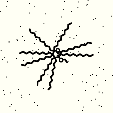 CCCCCCCCCCC1(CCCCCCCCCC)O[Si](CCCCCCCCCC)(CCCCCCCCCC)C(OCC)C(CCCCCCCCCC)(CCCCCCCCCC)C1(CCCCCCCCCC)CCCCCCCCCC